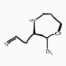 CC1OCCCNC1CC=O